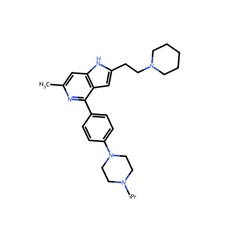 Cc1cc2[nH]c(CCN3CCCCC3)cc2c(-c2ccc(N3CCN(C(C)C)CC3)cc2)n1